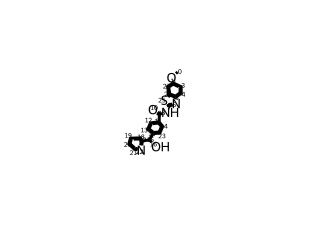 COc1ccc2nc(NC(=O)c3ccc(C(O)c4ccccn4)cc3)sc2c1